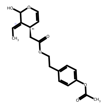 C/C=C1/C(O)OC=C[C@H]1CC(=O)OCCc1ccc(OC(C)=O)cc1